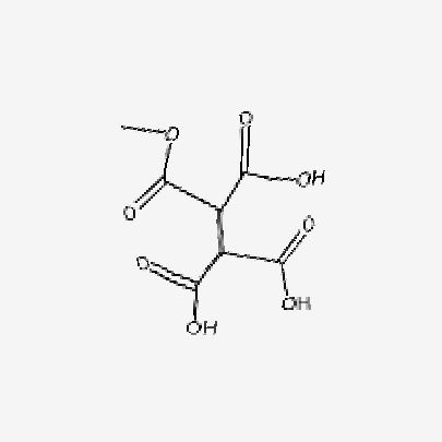 COC(=O)C(C(=O)O)C(C(=O)O)C(=O)O